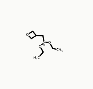 CCO[SiH](CC1COC1)OCC